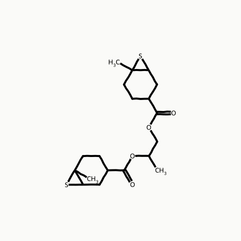 CC(COC(=O)C1CCC2(C)SC2C1)OC(=O)C1CCC2(C)SC2C1